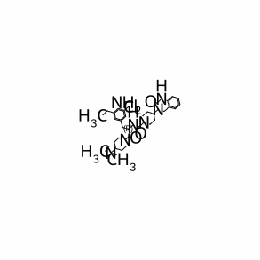 CCc1cc(C[C@@H](NC(=O)N2CCC(N3Cc4ccccc4NC3=O)CC2)C(=O)N2CCC(N(C)C)CC2)cc(Cl)c1N